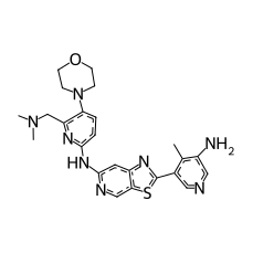 Cc1c(N)cncc1-c1nc2cc(Nc3ccc(N4CCOCC4)c(CN(C)C)n3)ncc2s1